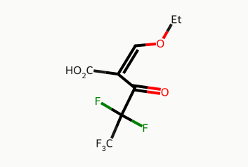 CCOC=C(C(=O)O)C(=O)C(F)(F)C(F)(F)F